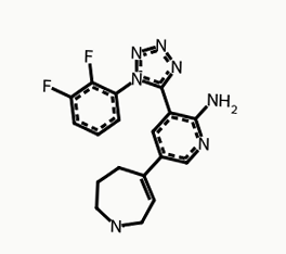 Nc1ncc(C2=CC[N]CCC2)cc1-c1nnnn1-c1cccc(F)c1F